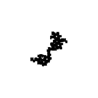 Cc1nc2cnc3ccc(C#CCNC(=O)c4cccn([C@H](C)c5ccc(F)c(F)c5)c4=O)cc3c2n1C(C)C